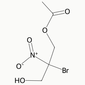 CC(=O)OCC(Br)(CO)[N+](=O)[O-]